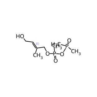 C/C(=C\CO)COP(C)(=O)OP(C)(C)=O